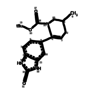 CC1CC=C(c2ccc3[nH]c(=O)[nH]c3c2)N(C(=O)OC(C)(C)C)C1